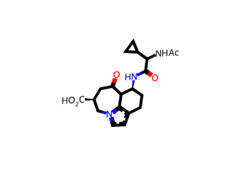 CC(=O)NC(C(=O)N[C@H]1CCc2ccn3c2C1C(=O)C[C@H](C(=O)O)C3)C1CC1